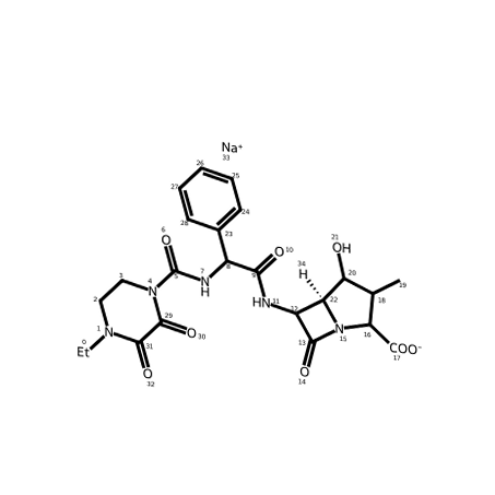 CCN1CCN(C(=O)NC(C(=O)NC2C(=O)N3C(C(=O)[O-])C(C)C(O)[C@H]23)c2ccccc2)C(=O)C1=O.[Na+]